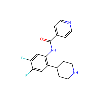 O=C(Nc1cc(F)c(F)cc1C1CCNCC1)c1ccncc1